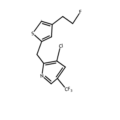 FCCc1[c]sc(Cc2ncc(C(F)(F)F)cc2Cl)c1